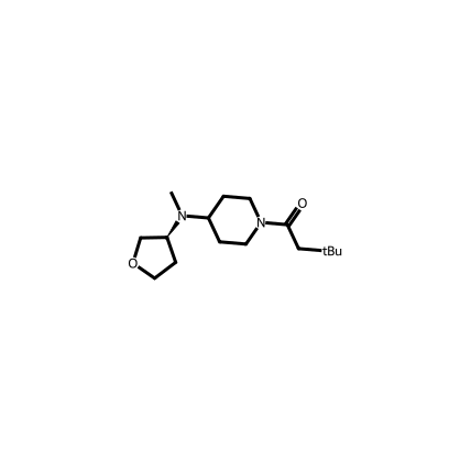 CN(C1CCN(C(=O)CC(C)(C)C)CC1)[C@H]1CCOC1